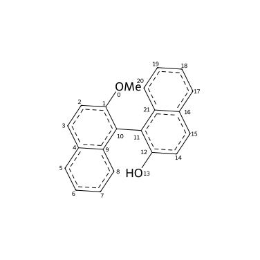 COc1ccc2ccccc2c1-c1c(O)ccc2ccccc12